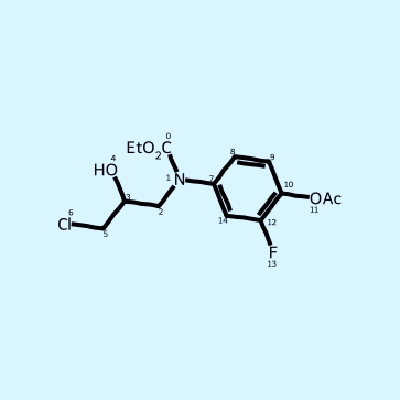 CCOC(=O)N(CC(O)CCl)c1ccc(OC(C)=O)c(F)c1